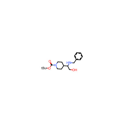 CC(C)(C)OC(=O)N1CCC(C(CO)NCc2ccccc2)CC1